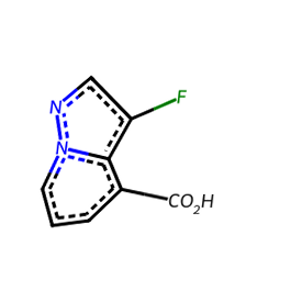 O=C(O)c1cccn2ncc(F)c12